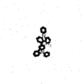 CC12C(c3ccc4c(c3)c3ccccc3n4-c3ccccc3)=CC=CC1N(c1ccccc1)C1=C2CCC=C1